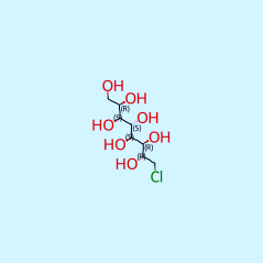 OC[C@@H](O)[C@H](O)[C@H](O)[C@H](O)[C@@H](O)[C@@H](O)CCl